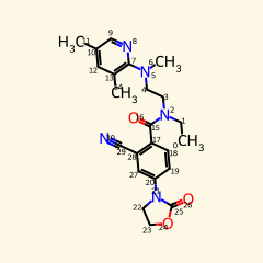 CCN(CCN(C)c1ncc(C)cc1C)C(=O)c1ccc(N2CCOC2=O)cc1C#N